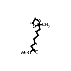 COC(=O)CCCCCCC1(C)OCCO1